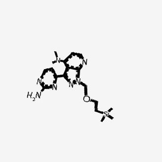 CN(C)c1ccnc2c1c(-c1ccnc(N)n1)nn2COCC[Si](C)(C)C